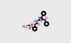 CCS(=O)(=O)c1ccccc1CC(=O)Nc1nc(-c2ccccc2)c(C(=O)c2ccccc2)s1